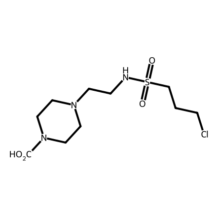 O=C(O)N1CCN(CCNS(=O)(=O)CCCCl)CC1